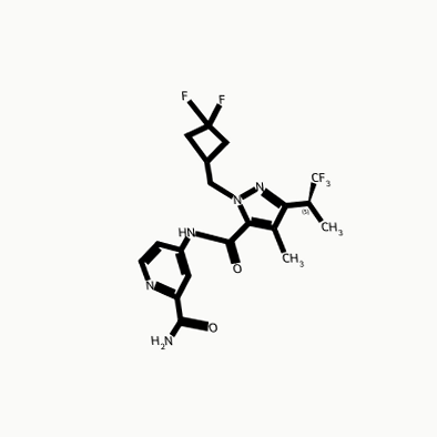 Cc1c([C@H](C)C(F)(F)F)nn(CC2CC(F)(F)C2)c1C(=O)Nc1ccnc(C(N)=O)c1